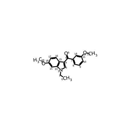 CCn1cc(C(=O)c2cccc(OC)c2)c2ccc(OC)cc21